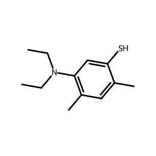 CCN(CC)c1cc(S)c(C)cc1C